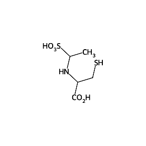 CC(NC(CS)C(=O)O)S(=O)(=O)O